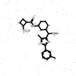 COC(c1nc(-c2cccc(C)c2)oc1C)C1CCCC(NC(=O)C2CCC2C(=O)O)C1